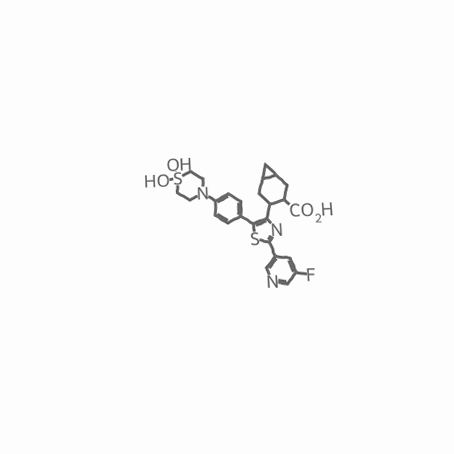 O=C(O)C1CC2CC2CC1c1nc(-c2cncc(F)c2)sc1-c1ccc(N2CCS(O)(O)CC2)cc1